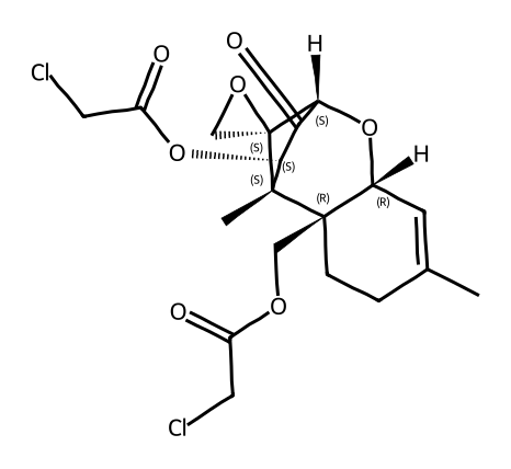 CC1=C[C@H]2O[C@@H]3C(=O)[C@@H](OC(=O)CCl)[C@](C)([C@@]2(COC(=O)CCl)CC1)[C@]31CO1